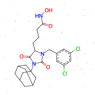 O=C(CCCC1C(=O)N(C23CC4CC(CC(C4)C2)C3)C(=O)N1Cc1cc(Cl)cc(Cl)c1)NO